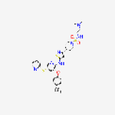 CN(C)CCNS(=O)(=O)N1CCC(c2cc(Nc3ncc(Sc4ccccn4)cc3Oc3ccc(C(F)(F)F)cc3)sn2)CC1